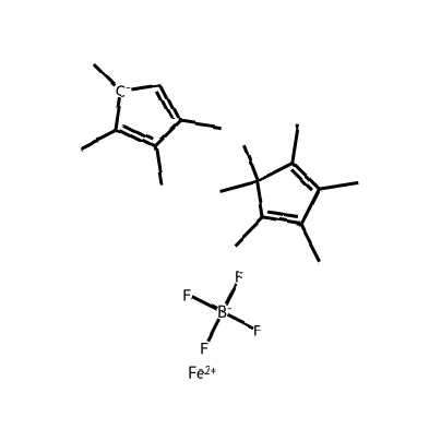 CC1=C(C)C(C)(C)C(C)=C1C.Cc1c[c-](C)c(C)c1C.F[B-](F)(F)F.[Fe+2]